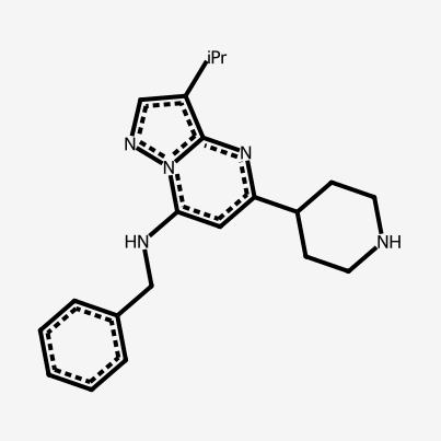 CC(C)c1cnn2c(NCc3ccccc3)cc(C3CCNCC3)nc12